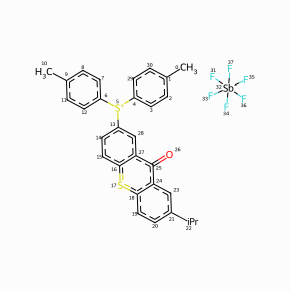 Cc1ccc([S+](c2ccc(C)cc2)c2ccc3sc4ccc(C(C)C)cc4c(=O)c3c2)cc1.[F][Sb-]([F])([F])([F])([F])[F]